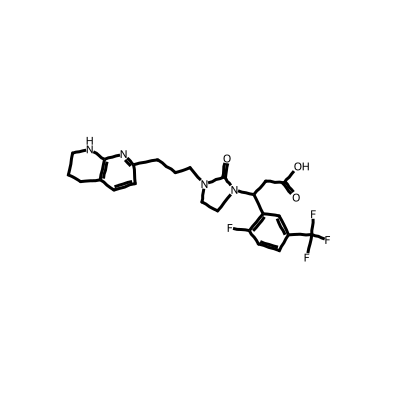 O=C(O)CC(c1cc(C(F)(F)F)ccc1F)N1CCN(CCCc2ccc3c(n2)NCCC3)C1=O